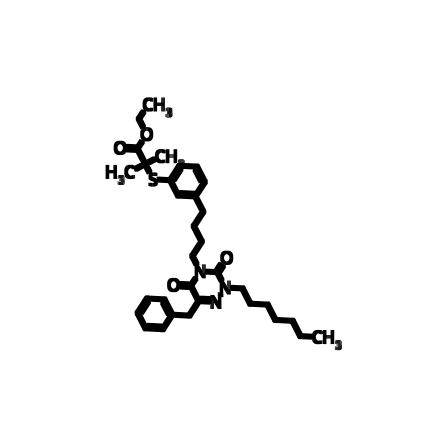 CCCCCCCn1nc(Cc2ccccc2)c(=O)n(CCCCc2cccc(SC(C)(C)C(=O)OCC)c2)c1=O